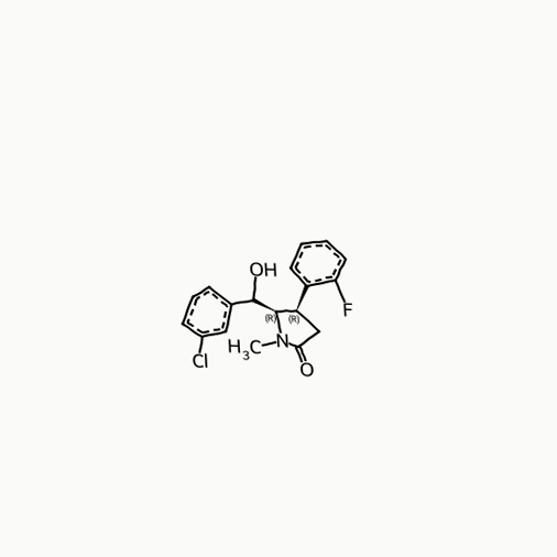 CN1C(=O)C[C@H](c2ccccc2F)[C@@H]1C(O)c1cccc(Cl)c1